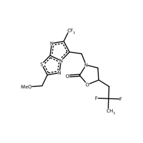 COCc1nn2c(CN3CC(CC(C)(F)F)OC3=O)c(C(F)(F)F)nc2s1